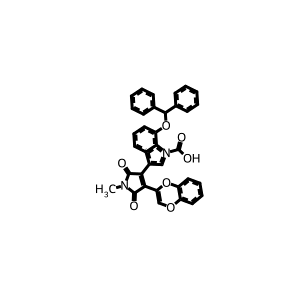 CN1C(=O)C(C2=COc3ccccc3O2)=C(c2cn(C(=O)O)c3c(OC(c4ccccc4)c4ccccc4)cccc23)C1=O